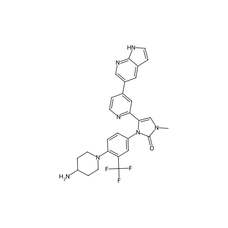 Cn1cc(-c2cc(-c3cnc4[nH]ccc4c3)ccn2)n(-c2ccc(N3CCC(N)CC3)c(C(F)(F)F)c2)c1=O